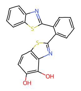 Oc1ccc2sc(-c3ccccc3-c3nc4ccccc4s3)nc2c1O